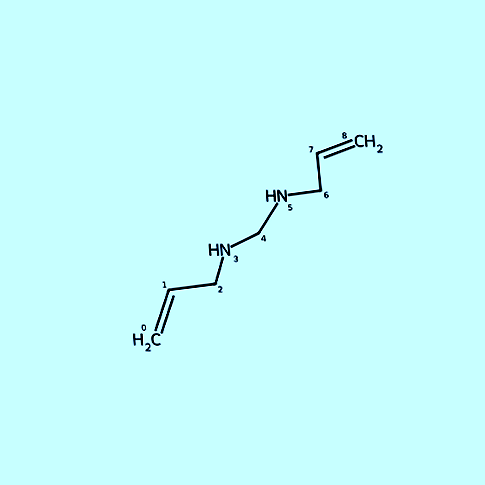 C=CCNCNCC=C